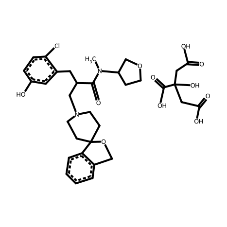 CN(C(=O)C(Cc1cc(O)ccc1Cl)CN1CCC2(CC1)OCc1ccccc12)C1CCOC1.O=C(O)CC(O)(CC(=O)O)C(=O)O